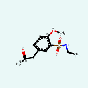 CCNS(=O)(=O)c1cc(CC(C)=O)ccc1OC